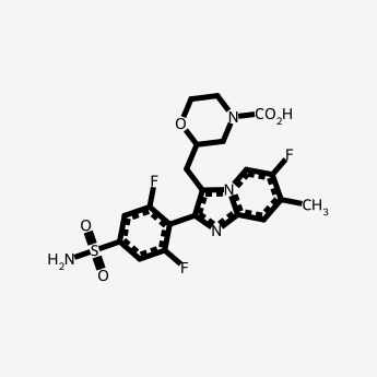 Cc1cc2nc(-c3c(F)cc(S(N)(=O)=O)cc3F)c(CC3CN(C(=O)O)CCO3)n2cc1F